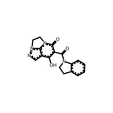 O=C(c1c(O)c2cnn3c2n(c1=O)CC3)N1CCc2ccccc21